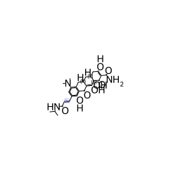 CC(C)NC(=O)/C=C/c1cc(N(C)C)c2c(c1O)C(=O)C1=C(O)[C@]3(O)C(=O)C(C(N)=O)=C(O)C[C@@H]3C[C@@H]1C2